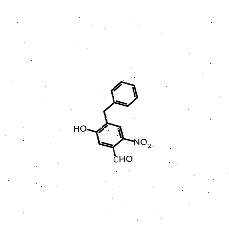 O=Cc1cc(O)c(Cc2ccccc2)cc1[N+](=O)[O-]